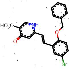 O=C(O)c1c[nH]c(/C=C/c2cc(Br)ccc2OCc2ccccc2)cc1=O